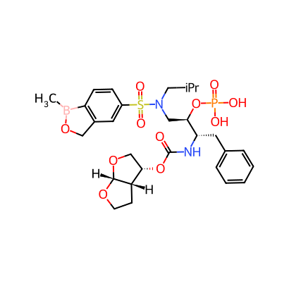 CB1OCc2cc(S(=O)(=O)N(CC(C)C)C[C@@H](OP(=O)(O)O)[C@H](Cc3ccccc3)NC(=O)O[C@H]3CO[C@H]4OCC[C@H]43)ccc21